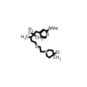 CCC1(C)CCN(CCOCCC(C)C(C)(C)Cc2ccnc(NC)c2)CC1